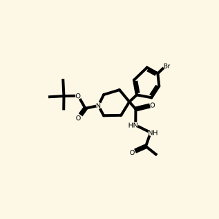 CC(=O)NNC(=O)C1(c2ccc(Br)cc2)CCN(C(=O)OC(C)(C)C)CC1